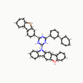 c1ccc(-c2cccc(-c3nc(-c4ccc5c(c4)sc4ccccc45)nc(-n4c5ccccc5c5cc6oc7ccccc7c6cc54)n3)c2)cc1